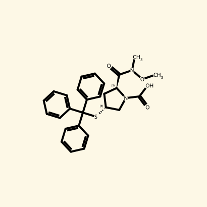 CON(C)C(=O)[C@@H]1C[C@@H](SC(c2ccccc2)(c2ccccc2)c2ccccc2)CN1C(=O)O